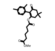 COC(=O)CCCCC(=O)OC1=C(c2ccc(C)cc2C)C(=O)CC(C)(C)C1